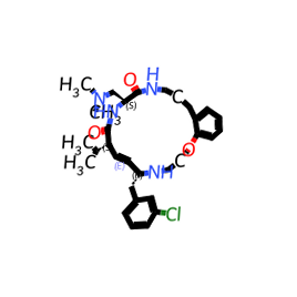 CC(C)[C@H]1/C=C/[C@@H](Cc2cccc(Cl)c2)NCCOc2ccccc2CCCNC(=O)[C@H](CN(C)C)NC1=O